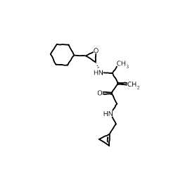 C=C(C(=O)CNCC1=CC1)C(C)N[C@H]1OC1C1CCCCC1